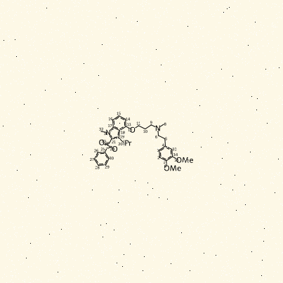 COc1ccc(CCN(C)CCCOc2cccc3c2c(C(C)C)c(S(=O)(=O)c2ccccc2)n3C)cc1OC